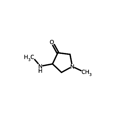 CNC1CN(C)CC1=O